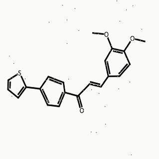 COc1ccc(C=CC(=O)c2ccc(-c3cccs3)cc2)cc1OC